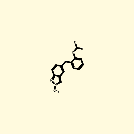 Cn1cc2cc(Cc3ccccc3OC(F)F)ccc2n1